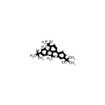 CCC(C)(C)c1ccc(-c2c[c]c(C(C)(C)CC)c(-c3ccc(C(C)(C)CC)cc3)c2C(C)(C)CC)cc1